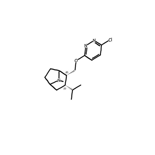 CC(C)[C@@H]1CC2CCC([C@@H]1COc1ccc(Cl)nn1)N2C